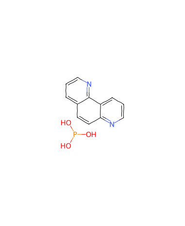 OP(O)O.c1cnc2c(c1)ccc1ncccc12